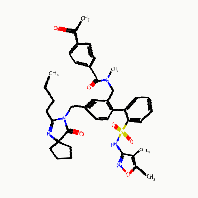 CCCCC1=NC2(CCCC2)C(=O)N1Cc1ccc(-c2ccccc2S(=O)(=O)Nc2noc(C)c2C)c(CN(C)C(=O)c2ccc(C(C)=O)cc2)c1